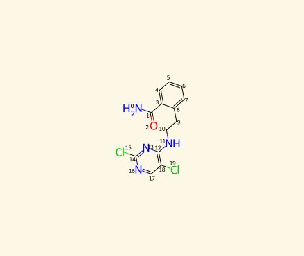 NC(=O)c1ccccc1CCNc1nc(Cl)ncc1Cl